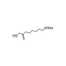 CCCCCCCCCCCCC(=S)CS